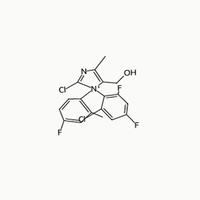 CC1=C(CO)[N+](c2ccc(F)cc2C)(c2c(F)cc(F)cc2Cl)C(Cl)=N1